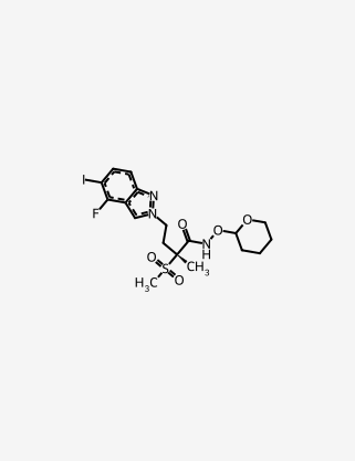 C[C@@](CCn1cc2c(F)c(I)ccc2n1)(C(=O)NOC1CCCCO1)S(C)(=O)=O